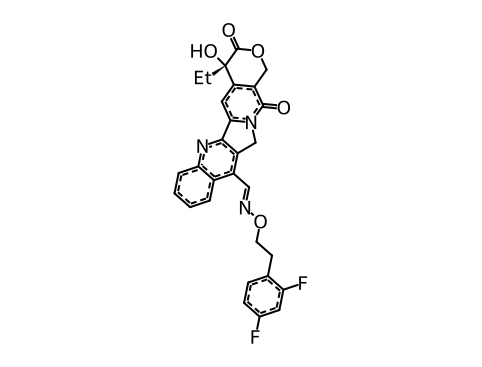 CC[C@@]1(O)C(=O)OCc2c1cc1n(c2=O)Cc2c-1nc1ccccc1c2C=NOCCc1ccc(F)cc1F